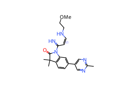 COCCN/C=C\C(=N)N1C(=O)C(C)(C)c2ccc(-c3cnc(C)nc3)cc21